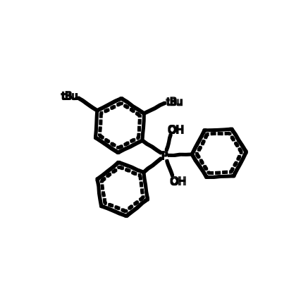 CC(C)(C)c1ccc(P(O)(O)(c2ccccc2)c2ccccc2)c(C(C)(C)C)c1